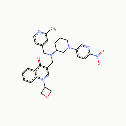 Cc1cc(CN(Cc2cn(C3COC3)c3ccccc3c2=O)[C@H]2CCCN(c3ccc([N+](=O)[O-])nc3)C2)ccn1